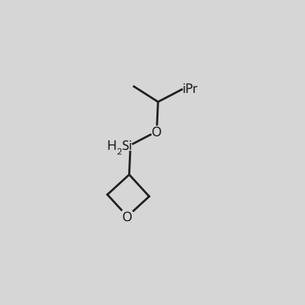 CC(C)C(C)O[SiH2]C1COC1